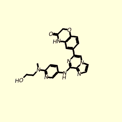 CN(CCO)c1ccc(Nc2nc(-c3ccc4c(c3)NC(=O)CO4)cn3ccnc23)cn1